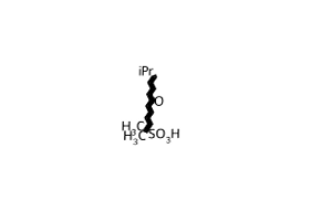 CC(C)CCCCC(=O)CCCCC(C)(C)S(=O)(=O)O